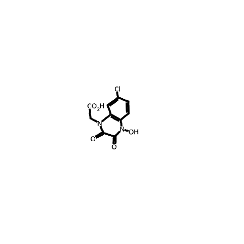 O=C(O)Cn1c(=O)c(=O)n(O)c2ccc(Cl)cc21